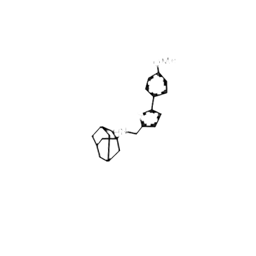 COc1ccc(-c2ccc(CNC34CC5CC(CC(C5)C3)C4)s2)cc1